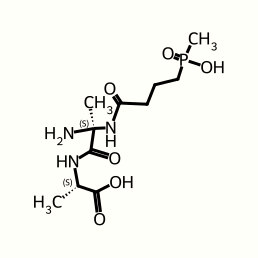 C[C@H](NC(=O)[C@@](C)(N)NC(=O)CCCP(C)(=O)O)C(=O)O